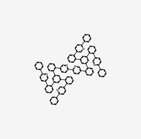 c1ccc(-c2ccc(-c3ccccc3-c3cc(-c4ccccc4-c4ccc(-c5ccccc5)nc4)cc(-c4ccccc4-c4ccc(-c5ccc(-c6ccccc6-c6cc(-c7ccccc7-c7ccc(-c8ccccc8)nc7)cc(-c7ccccc7-c7ccc(-c8ccccc8)nc7)c6)cn5)nc4)c3)cn2)cc1